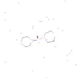 O=P(O)(N1CCOCC1)N1CCOCC1